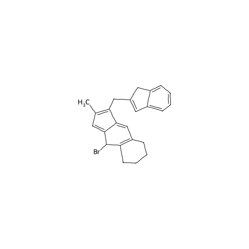 CC1=C(CC2=Cc3ccccc3C2)C2=CC3=C(CCCC3)C(Br)C2=C1